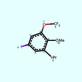 CCCc1cc(I)cc(OC(F)(F)F)c1OC